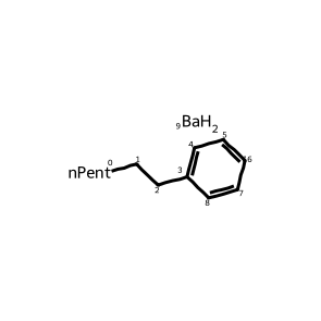 CCCCCCCc1cc[c]cc1.[BaH2]